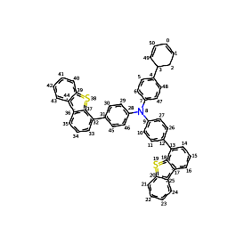 C1=CCC(c2ccc(N(c3ccc(-c4cccc5c4sc4ccccc45)cc3)c3ccc(-c4cccc5c4sc4ccccc45)cc3)cc2)C=C1